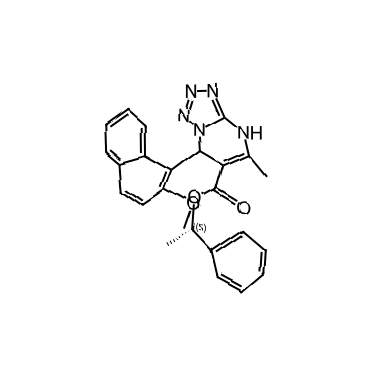 COc1ccc2ccccc2c1C1C(C(=O)O[C@@H](C)c2ccccc2)=C(C)Nc2nnnn21